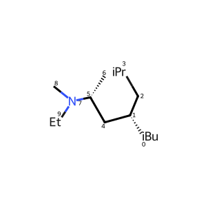 CCC(C)[C@@H](CC(C)C)C[C@@H](C)N(C)CC